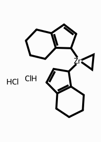 C1=C[CH]([Zr]2([CH]3C=CC4=C3CCCC4)[CH2][CH2]2)C2=C1CCCC2.Cl.Cl